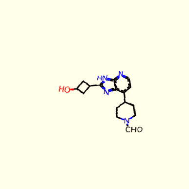 O=CN1CCC(c2ccnc3[nH]c(C4CC(O)C4)nc23)CC1